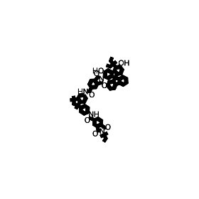 CCC(C)(CC)c1cc(C2(c3ccc(O)c(N4C(=O)c5ccc(C(=O)Nc6ccc7c(c6)C(C)(C)CC7(C)c6ccc(NC(=O)c7ccc8c(c7)C(=O)N(C(C)(C)CC)C8=O)cc6)cc5C4=O)c3)c3ccccc3-c3ccccc32)ccc1O